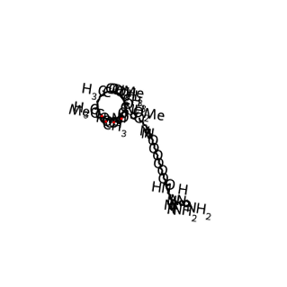 CO[C@H]1C[C@@H]2CC[C@@H](C)[C@@](O)(O2)C(=O)C(=O)N2CCCC[C@H]2C(=O)O[C@H]([C@H](N)C[C@@H]2CC[C@@H](OCCCCc3cn(CCOCCOCCOCCOCCOCCOCCC(=O)NCCCCn4nc(-c5cc6cc(N)ccc6[nH]5)c5c(N)ncnc54)nn3)[C@H](OC)C2)CC(=O)[C@H](C)/C=C(\C)[C@@H](O)[C@@H](OC)C(=O)[C@H](C)C[C@H](C)/C=C/C=C/C=C/1C